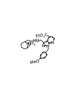 CCOC(=O)c1ccnc2c1c(CCNC1CC3CCCC(C1)N3C)nn2Cc1ccc(OC)cc1